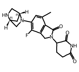 Cc1cc(N2C[C@H]3C[C@@H]2CN3)c(F)c2c1C(=O)N(C1CCC(=O)NC1=O)C2